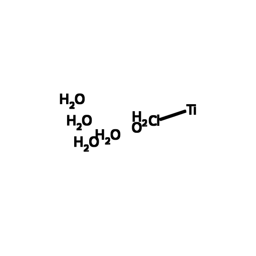 O.O.O.O.O.[Cl][Ti]